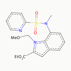 CCOC(=O)c1cc2cccc(N(C)S(=O)(=O)c3ccccn3)c2n1COC